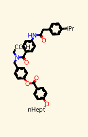 CCCCCCCOc1ccc(C(=O)Oc2ccc(CN(CC(=O)O)C(=O)c3ccc(NC(=O)Cc4ccc(C(C)C)cc4)cc3)cc2)cc1